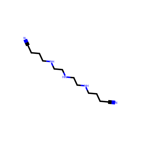 N#CCCCNCCNCCNCCCC#N